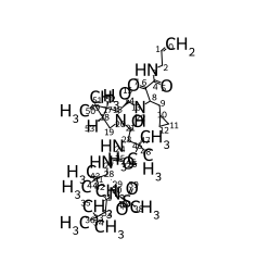 C=CCNC(=O)C(=O)C(CC1CC1)NC(=O)[C@@H]1[C@@H]2[C@H](CN1C(=O)[C@@H](NC(=O)N[C@H](CN(CCC(C)(C)C)S(C)(=O)=O)C(C)(C)C)C(C)(C)C)C2(C)C